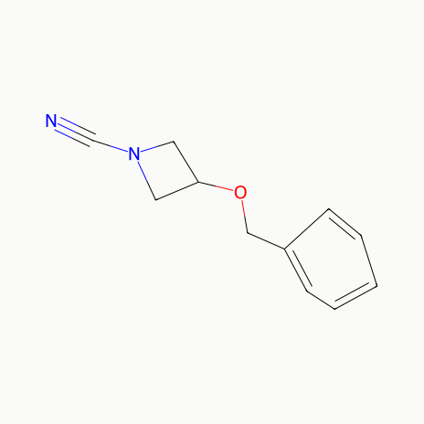 N#CN1CC(OCc2ccccc2)C1